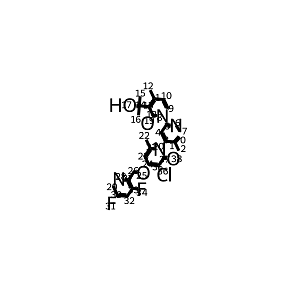 C=C(C)/C(=C\C(=N/C)n1ccc(C)c(C(C)(C)O)c1=O)n1c(C)cc(OCc2ncc(F)cc2F)c(Cl)c1=O